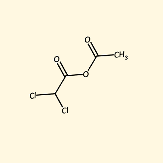 CC(=O)OC(=O)C(Cl)Cl